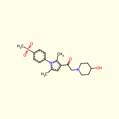 Cc1cc(C(=O)CN2CCC(O)CC2)c(C)n1-c1ccc(S(C)(=O)=O)cc1